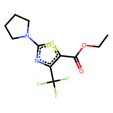 CCOC(=O)c1sc(N2CCCC2)nc1C(F)(F)F